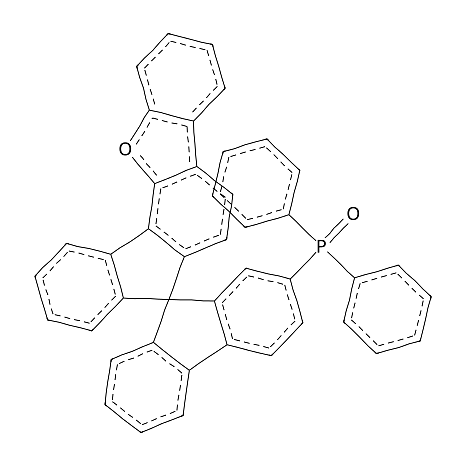 O=P(c1ccccc1)(c1ccccc1)c1ccc2c(c1)C1(c3ccccc3-2)c2ccccc2-c2c1ccc1c2oc2ccccc21